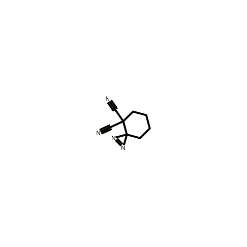 N#CC1(C#N)CCCCC12N=N2